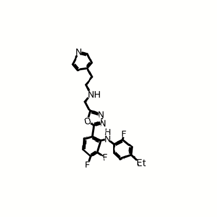 CCc1ccc(Nc2c(-c3nnc(CNCCc4ccncc4)o3)ccc(F)c2F)c(F)c1